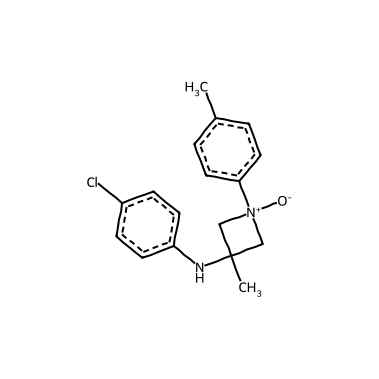 Cc1ccc([N+]2([O-])CC(C)(Nc3ccc(Cl)cc3)C2)cc1